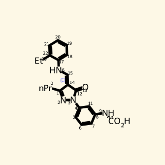 CCCC1=NN(c2cccc(NC(=O)O)c2)C(=O)/C1=C/Nc1ccccc1CC